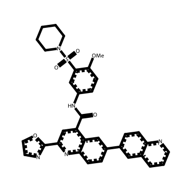 COc1ccc(NC(=O)c2cc(-c3ncco3)nc3ccc(-c4ccc5ncccc5c4)cc23)cc1S(=O)(=O)N1CCCCC1